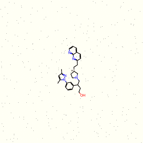 Cc1cc(C)n(-c2cccc(C(CCO)CN3CC[C@@H](CCc4ccc5cccnc5n4)C3)c2)n1